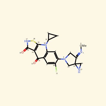 CON=C1CN(c2cc3c(cc2F)c(=O)c2c(=O)[nH]sc2n3C2CC2)CC12CN2